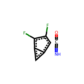 Fc1cc2cc-2c1F.N=C=O